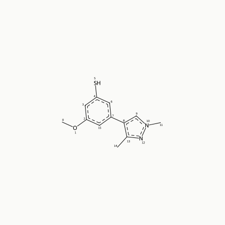 COc1cc(S)cc(-c2cn(C)nc2C)c1